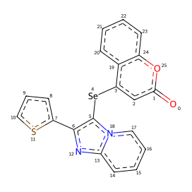 O=c1cc([Se]c2c(-c3cccs3)nc3ccccn23)c2ccccc2o1